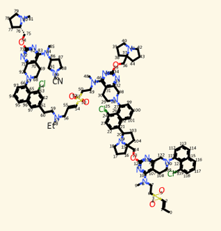 C/C=C/S(=O)(=O)CCN(C)c1nc(OCC23CCCN2C(c2ccc(Cl)c4c(N5CCc6c(nc(OCC78CCCN7CCC8)nc6N(C)CCS(=O)(=O)/C=C/CN(CC)CCc6cc(Cl)c7c(N8CCc9c(nc(OC[C@@H]%10CCCN%10C)nc9N(C)C9CCN(C#N)C9)C8)cccc7c6)C5)cccc24)CC3)nc2c1CCN(c1cccc3cccc(Cl)c13)C2